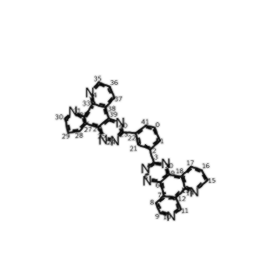 c1cc(-c2nnc3c4ccncc4c4ncccc4c3n2)cc(-c2nnc3c4cccnc4c4ncccc4c3n2)c1